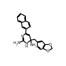 NC1=NC(c2ccc3ccccc3c2)=CC(N)(Cc2ccc3c(c2)OCO3)N1